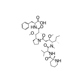 CC[C@H](C)[C@@H]([C@@H](CC(=O)N1CCC[C@H]1[C@H](OC)[C@@H](C)C(=O)N[C@@H](Cc1ccccc1)C(=O)O)OC)N(C)C(=O)[C@@H](NC(=O)[C@@]1(C)CCCCN1)C(C)C